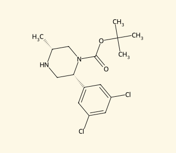 C[C@@H]1CN(C(=O)OC(C)(C)C)[C@H](c2cc(Cl)cc(Cl)c2)CN1